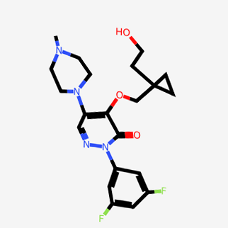 CN1CCN(c2cnn(-c3cc(F)cc(F)c3)c(=O)c2OCC2(CCO)CC2)CC1